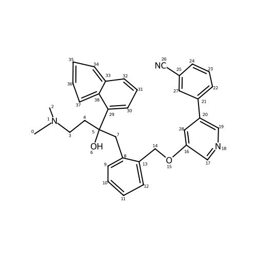 CN(C)CCC(O)(Cc1ccccc1COc1cncc(-c2cccc(C#N)c2)c1)c1cccc2ccccc12